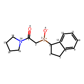 O=C(C[S+]([O-])C1CCc2ccccc21)N1CCCC1